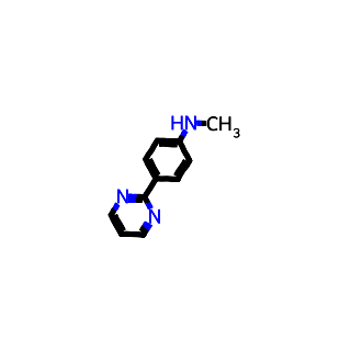 CNc1ccc(-c2ncccn2)cc1